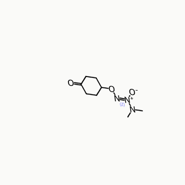 CN(C)/[N+]([O-])=N/OC1CCC(=O)CC1